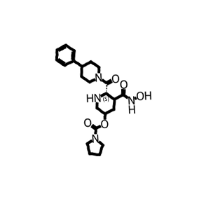 O=C(NO)C1CC(OC(=O)N2CCCC2)CN[C@@H]1C(=O)N1CCC(c2ccccc2)CC1